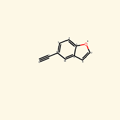 C#Cc1ccc2o[c]cc2c1